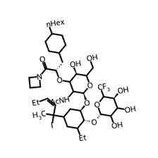 CC/C=C\C(C)(I)C1CC(CC)[C@@H](O[C@@H]2OC(C(F)(F)F)[C@@H](O)C(O)C2O)[C@H](O[C@@H]2OC(CO)[C@H](O)C(O[C@@H](CC3CCC(CCCCCC)CC3)C(=O)N3CCC3)C2NC(C)=O)C1